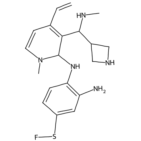 C=CC1=C(C(NC)C2CNC2)C(Nc2ccc(SF)cc2N)N(C)C=C1